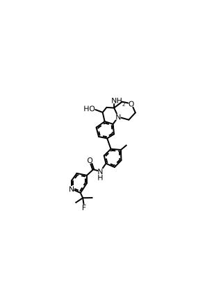 Cc1ccc(NC(=O)c2ccnc(C(C)(C)F)c2)cc1-c1ccc2c(c1)N1CCOCC1(N)CC2O